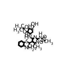 C=C(Sc1ccccc1N)c1c(C)nc(NS(C)(=O)=O)nc1N[C@@H]1C[C@H](CO)[C@H]2OC(C)(C)O[C@H]21